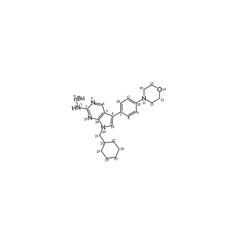 CCCCNc1ncc2c(-c3ccc(N4CCOCC4)cc3)cn(CC3CCCCC3)c2n1